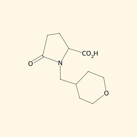 O=C(O)C1CCC(=O)N1CC1CCOCC1